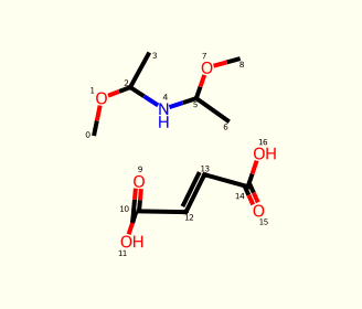 COC(C)NC(C)OC.O=C(O)C=CC(=O)O